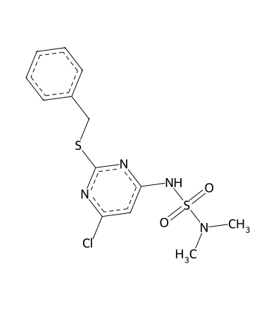 CN(C)S(=O)(=O)Nc1cc(Cl)nc(SCc2ccccc2)n1